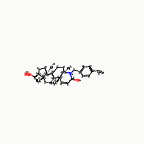 COc1ccc(CN2C(=O)C=C[C@]3(C)C4CC[C@]5(C)[C@@H](CO)CC[C@H]5C4CC[C@@H]23)cc1